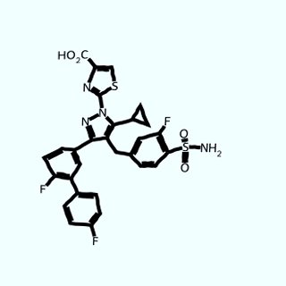 NS(=O)(=O)c1ccc(Cc2c(-c3ccc(F)c(-c4ccc(F)cc4)c3)nn(-c3nc(C(=O)O)cs3)c2C2CC2)cc1F